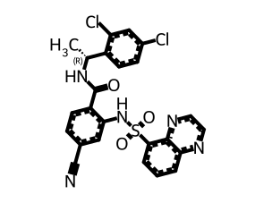 C[C@@H](NC(=O)c1ccc(C#N)cc1NS(=O)(=O)c1cccc2nccnc12)c1ccc(Cl)cc1Cl